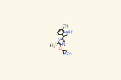 Cc1nc(-c2c[nH]c3c(C#N)cccc23)cnc1OC1CNC1